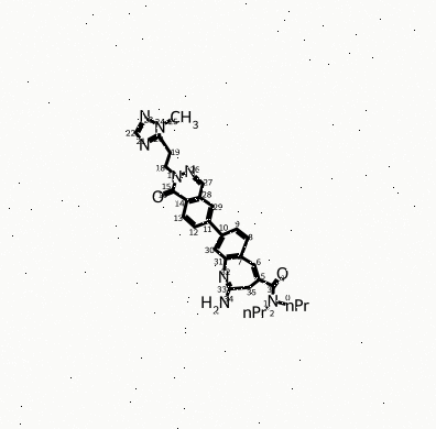 CCCN(CCC)C(=O)C1=Cc2ccc(-c3ccc4c(=O)n(CCc5ncnn5C)ncc4c3)cc2N=C(N)C1